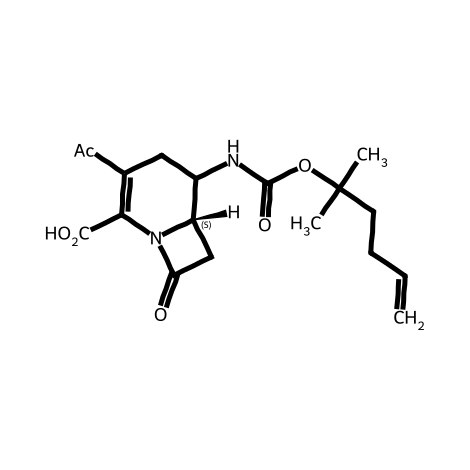 C=CCCC(C)(C)OC(=O)NC1CC(C(C)=O)=C(C(=O)O)N2C(=O)C[C@@H]12